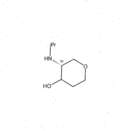 CC(C)N[C@@H]1COCCC1O